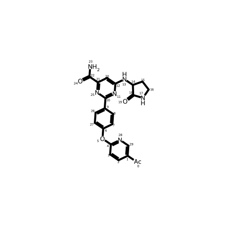 CC(=O)c1ccc(Oc2ccc(-c3nc(NC4CCNC4=O)cc(C(N)=O)n3)cc2)nc1